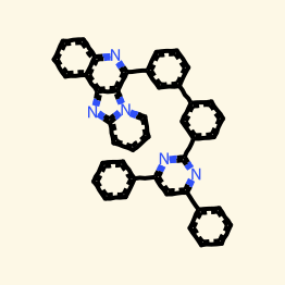 c1ccc(-c2cc(-c3ccccc3)nc(-c3cccc(-c4cccc(-c5nc6ccccc6c6nc7ccccn7c56)c4)c3)n2)cc1